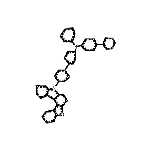 c1ccc(-c2ccc(N(c3ccccc3)c3ccc(-c4ccc(-n5c6ccccc6c6c7c(ccc65)oc5ccccc57)cc4)cc3)cc2)cc1